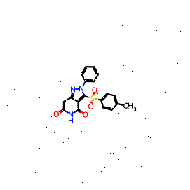 Cc1ccc(S(=O)(=O)c2c3c(nn2-c2ccccc2)CC(=O)NC3=O)cc1